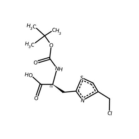 CC(C)(C)OC(=O)N[C@@H](Cc1nc(CCl)cs1)C(=O)O